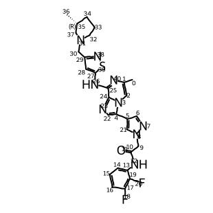 Cc1cn2c(-c3cnn(CC(=O)Nc4cccc(F)c4F)c3)cnc2c(Nc2cc(CN3CCC[C@@H](C)C3)ns2)n1